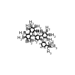 Bc1c(B)c(B)c2c(c1B)c1cc(-n3c4c(B)c(B)c(B)c(B)c4c4c(B)c(B)c(B)c(B)c43)ccc1n2-c1cccc(C(C)(C)C)c1